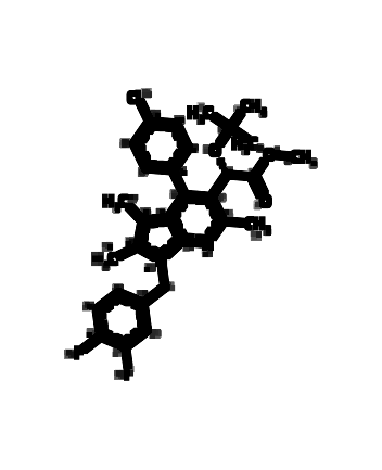 COC(=O)[C@@H](OC(C)(C)C)c1c(C)nc2c(c(C)c(C)n2Cc2ccc(F)c(F)c2)c1-c1ccc(Cl)cc1